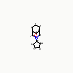 O=C1C2CCCC1CN(C1CCCC1)C2